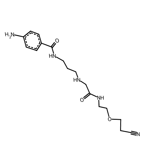 N#CCCOCCNC(=O)CNCCCNC(=O)c1ccc(N)cc1